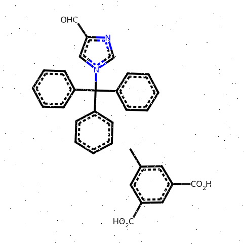 Cc1cc(C(=O)O)cc(C(=O)O)c1.O=Cc1cn(C(c2ccccc2)(c2ccccc2)c2ccccc2)cn1